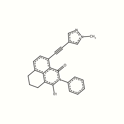 CCc1c2c3c(ccc(C#Cc4cnn(C)c4)c3c(=O)n1-c1ccccc1)CCC2